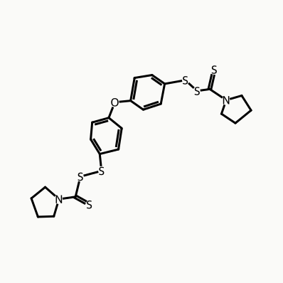 S=C(SSc1ccc(Oc2ccc(SSC(=S)N3CCCC3)cc2)cc1)N1CCCC1